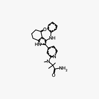 CN(c1cc(-c2[nH]c3c(c2Nc2ccccc2)C(=O)CCC3)ccn1)C(C)(C)C(N)=O